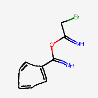 N=C(CBr)OC(=N)c1ccccc1